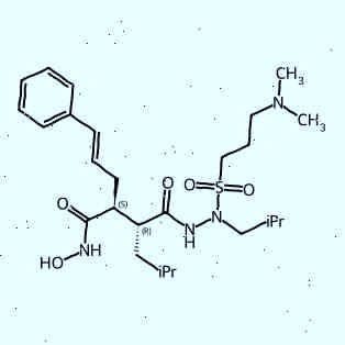 CC(C)C[C@@H](C(=O)NN(CC(C)C)S(=O)(=O)CCCN(C)C)[C@H](CC=Cc1ccccc1)C(=O)NO